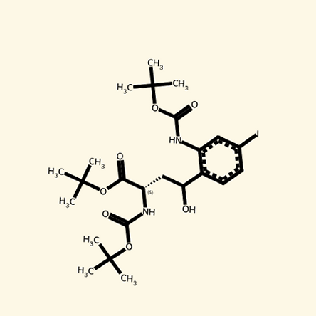 CC(C)(C)OC(=O)Nc1cc(I)ccc1C(O)C[C@H](NC(=O)OC(C)(C)C)C(=O)OC(C)(C)C